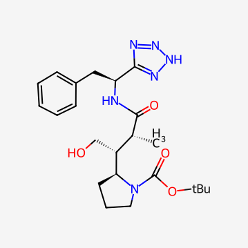 C[C@@H](C(=O)N[C@@H](Cc1ccccc1)c1nn[nH]n1)[C@@H](CO)[C@@H]1CCCN1C(=O)OC(C)(C)C